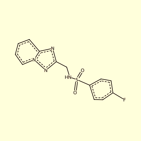 O=S(=O)(NCc1nc2ccccn2n1)c1ccc(F)cc1